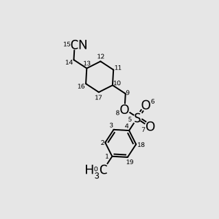 Cc1ccc(S(=O)(=O)OCC2CCC(CC#N)CC2)cc1